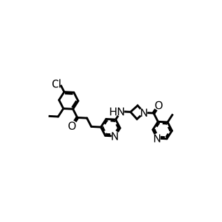 CCC1CC(Cl)=CC=C1C(=O)CCc1cncc(NC2CN(C(=O)c3cnccc3C)C2)c1